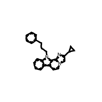 c1ccc(CCCn2c3ccccc3c3ccn4cc(C5CC5)nc4c32)cc1